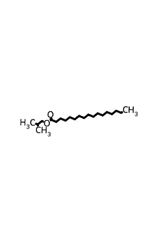 CCCCCCCCCCCCCCCCC(=O)OCC(C)C